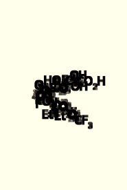 CCN(CC)CCN(Cc1ccc(-c2ccc(C(F)(F)F)cc2)cc1)C(=O)Cn1c(SCc2cccc(F)c2F)cc(=O)c2ccc(F)cc21.O=C(O)C(O)C(O)C(=O)O